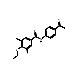 CCOc1c(C)cc(C(=O)Nc2ccc(C(C)=O)cc2)cc1Cl